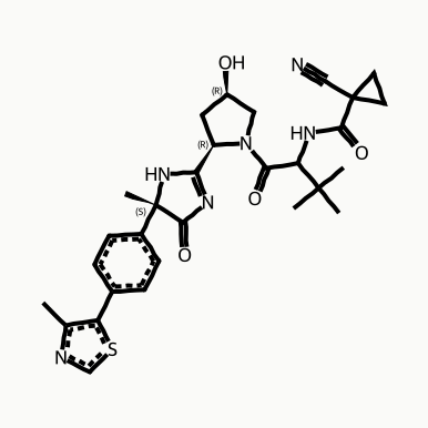 Cc1ncsc1-c1ccc([C@]2(C)NC([C@H]3C[C@@H](O)CN3C(=O)C(NC(=O)C3(C#N)CC3)C(C)(C)C)=NC2=O)cc1